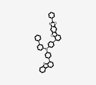 c1ccc(-c2cccc(N(c3ccc(-c4cccc5c4oc4cc6nc(-c7ccccc7)oc6cc45)cc3)c3ccc(-c4cccc5c4sc4ccccc45)cc3)c2)cc1